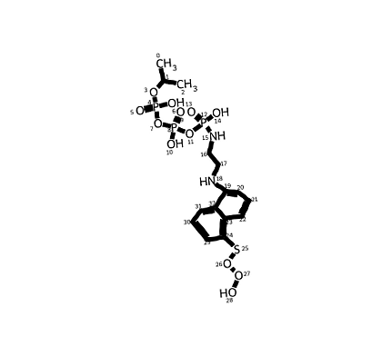 CC(C)OP(=O)(O)OP(=O)(O)OP(=O)(O)NCCNc1cccc2c(SOOO)cccc12